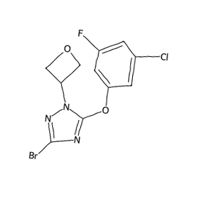 Fc1cc(Cl)cc(Oc2nc(Br)nn2C2COC2)c1